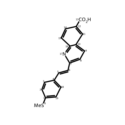 CSc1ccc(C=Cc2ccc3cc(C(=O)O)ccc3n2)cc1